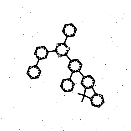 CC1(C)c2ccccc2-c2ccc(-c3ccc(-c4nc(-c5ccccc5)nc(-c5cccc(-c6ccccc6)c5)n4)cc3-c3ccccc3)cc21